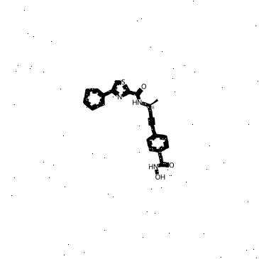 C[C@@H](C#Cc1ccc(C(=O)NO)cc1)NC(=O)c1nc(-c2ccccc2)cs1